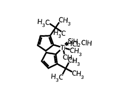 CC(C)(C)C1=[C]([Ti]([CH3])([CH3])(=[SiH2])[C]2=C(C(C)(C)C)C=CC2)CC=C1.Cl.Cl